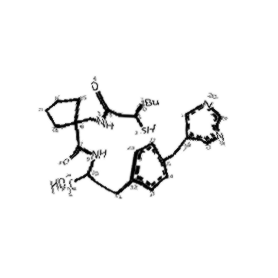 CCC(C)C(S)C(=O)NC1(C(=O)NC(Cc2ccc(-c3cncnc3)cc2)C(=O)O)CCCC1